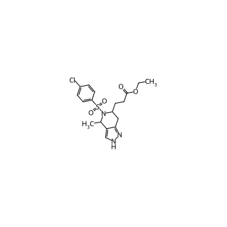 CCOC(=O)CCC1Cc2n[nH]cc2C(C)N1S(=O)(=O)c1ccc(Cl)cc1